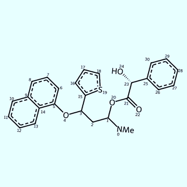 CNC(CC(Oc1cccc2ccccc12)c1cccs1)OC(=O)[C@H](O)c1ccccc1